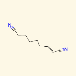 N#CC=CCCCCCC#N